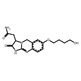 NC(=O)CC1C(=O)NC2=Nc3ccc(OCCCCO)cc3CN21